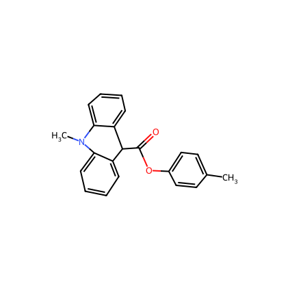 Cc1ccc(OC(=O)C2c3ccccc3N(C)c3ccccc32)cc1